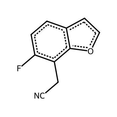 N#CCc1c(F)ccc2ccoc12